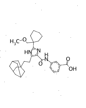 COCC1(c2nc(C(=O)Nc3cccc(C(=O)O)c3)c(CCC34CC5CC(CC(C5)C3)C4)[nH]2)CCCCC1